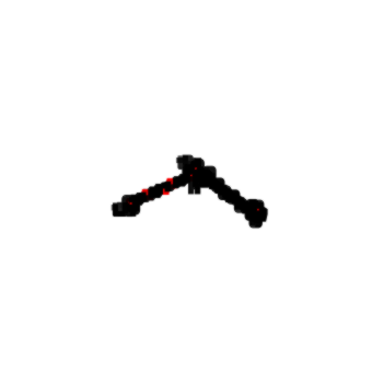 CC(C)(C)OC(=O)CCCCCCCCCCCCCCCCCCC(=O)NC(CCC(=O)NCCOCCOCCOCCOCCC(=O)ON1C(=O)CCC1=O)C(=O)OC(C)(C)C